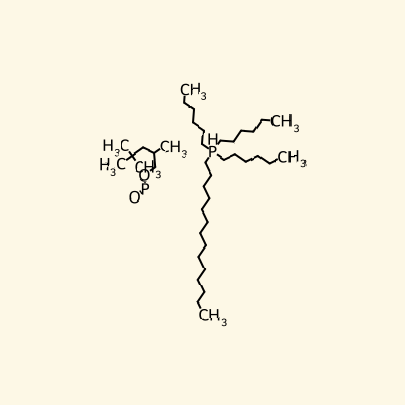 CC(COP=O)CC(C)(C)C.CCCCCCCCCCCCCC[PH](CCCCCC)(CCCCCC)CCCCCC